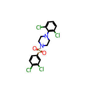 O=S(=O)(c1ccc(Cl)c(Cl)c1)N1CCN(c2c(Cl)cccc2Cl)CC1